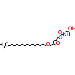 CCCCCCCCCCCCCCCCOCC1COC(COC(=O)NCCO)C1